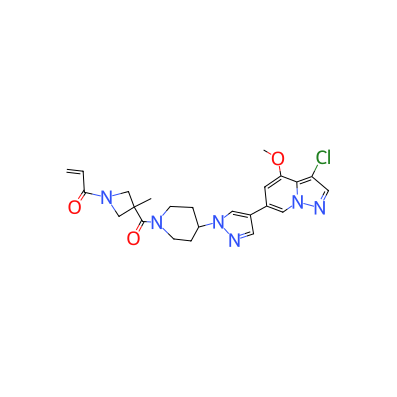 C=CC(=O)N1CC(C)(C(=O)N2CCC(n3cc(-c4cc(OC)c5c(Cl)cnn5c4)cn3)CC2)C1